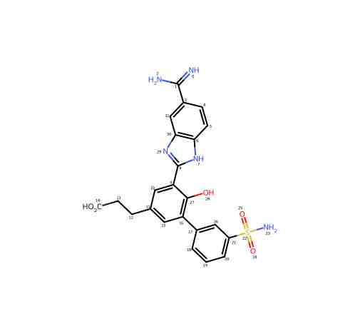 N=C(N)c1ccc2[nH]c(-c3cc(CCC(=O)O)cc(-c4cccc(S(N)(=O)=O)c4)c3O)nc2c1